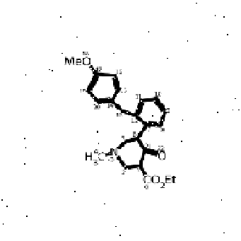 CCOC(=O)C1CN(C)CC(c2ccccc2Cc2ccc(OC)cc2)C1=O